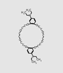 CCN(CC)c1ccc2c(c1)OCCOCCOCCOc1ccc(N(CC)CC)cc1OCCOCCOCCO2